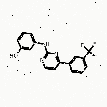 Oc1cccc(Nc2nccc(-c3cccc(C(F)(F)F)c3)n2)c1